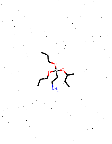 CCCO[Si](CCN)(OCCC)OC(C)CC